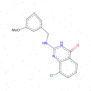 COc1cccc(CNc2nc3c(Cl)cccc3c(=O)[nH]2)c1